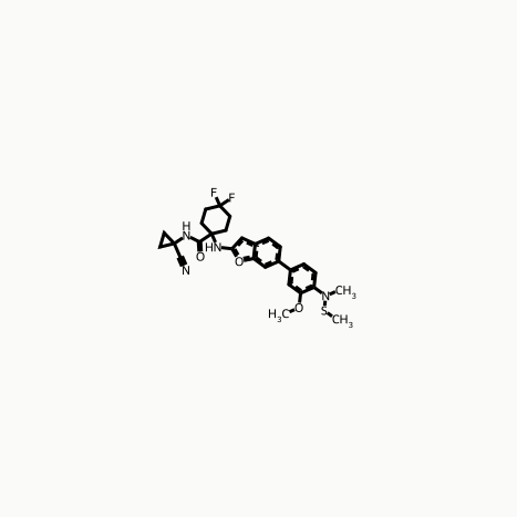 COc1cc(-c2ccc3cc(NC4(C(=O)NC5(C#N)CC5)CCC(F)(F)CC4)oc3c2)ccc1N(C)SC